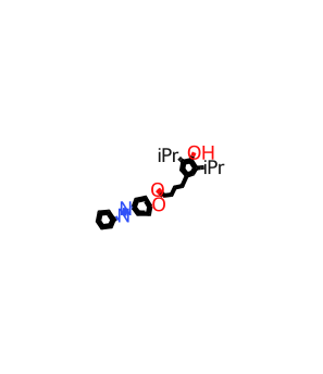 CC(C)c1cc(CCCC(=O)Oc2ccc(/N=N/c3ccccc3)cc2)cc(C(C)C)c1O